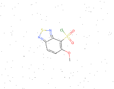 COc1ccc2nsnc2c1S(=O)(=O)Cl